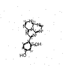 Oc1ccc(C2=NC3=NC=NC4=NC=NC(=N2)N43)c(O)c1